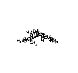 COc1cc(S(C)(=O)=O)ccc1N(CC#Cc1cc2c(N[C@@H]3CCN(C(=O)OC(C)(C)C)C[C@@H]3F)cccc2n1CC(F)(F)F)C(=O)OC(C)(C)C